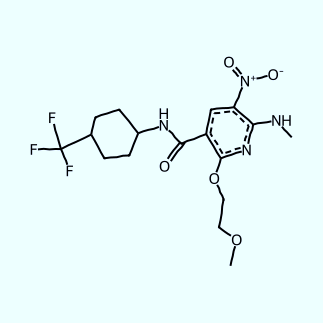 CNc1nc(OCCOC)c(C(=O)NC2CCC(C(F)(F)F)CC2)cc1[N+](=O)[O-]